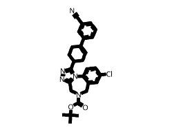 CC(C)(C)OC(=O)N1Cc2cc(Cl)ccc2-n2c(nnc2C2CC=C(c3cccc(C#N)c3)CC2)C1